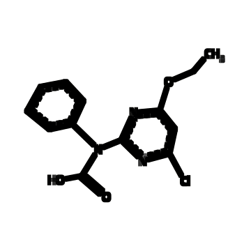 CCOc1cc(Cl)nc(N(C(=O)O)c2ccccc2)n1